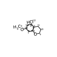 COc1ccc2c(c1)OCCC2.Cl